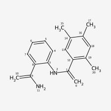 C=C(Nc1ccccc1C(=C)N)c1cc(C)c(C)cc1C